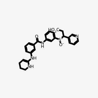 O=C(O)CC(c1cccnc1)[S+]([O-])c1cccc(NC(=O)c2cccc(NC3=CCCCN3)c2)c1